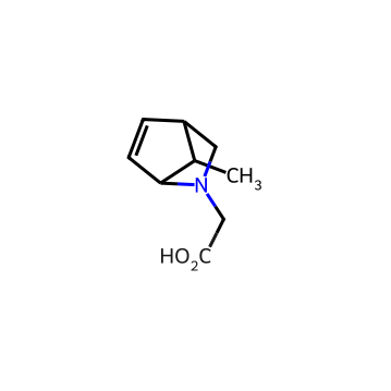 CC1C2C=CC1N(CC(=O)O)C2